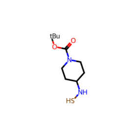 CC(C)(C)OC(=O)N1CCC(NS)CC1